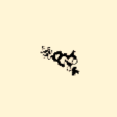 CC(C)C1Cc2ccc(OS(=O)(=O)C(F)(F)F)cc2CCN1C(=O)OC(C)(C)C